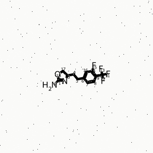 NC1=NC(CCc2ccc(C(F)(F)F)c(F)c2)CO1